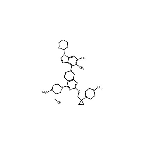 Cc1cc2c(cnn2C2CCCCO2)c(N2CCc3c(nc(OCC4(N5CCN(C)CC5)CC4)nc3N3CCN(C(=O)O)[C@@H](CC#N)C3)C2)c1C